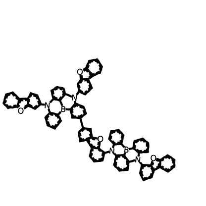 c1ccc2c(c1)B1c3cc(-c4ccc5c(c4)oc4c(N6c7ccccc7B7c8ccccc8N(c8cccc9c8oc8ccccc89)c8cccc6c87)cccc45)ccc3N(c3ccc4c(c3)oc3ccccc34)c3cccc(c31)N2c1ccc2c(c1)oc1ccccc12